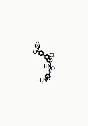 Nc1ccc(/C=C/C(=O)NCc2cc3cc(-c4ccc(C(=O)N5CCOCC5)cc4)cc(Cl)c3o2)cn1